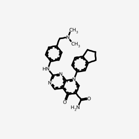 CN(C)Cc1ccc(Nc2ncc3c(=O)c(C(N)=O)cn(-c4ccc5c(c4)CCC5)c3n2)cc1